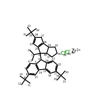 CC(C)C1(C2c3ccc(C(C)(C)C)cc3-c3cc(C(C)(C)C)ccc32)C2=C(CC(C(C)(C)C)=C2)C2CCCC21.[Cl-].[Cl-].[Zr+2]